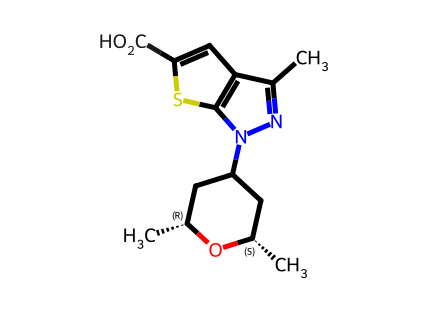 Cc1nn(C2C[C@@H](C)O[C@@H](C)C2)c2sc(C(=O)O)cc12